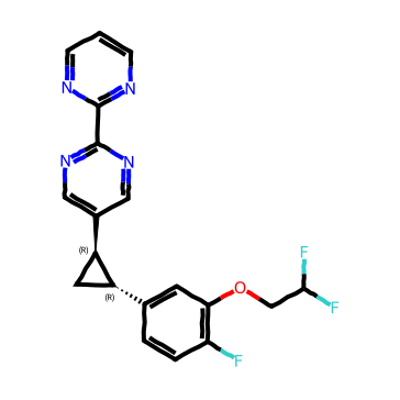 Fc1ccc([C@@H]2C[C@H]2c2cnc(-c3ncccn3)nc2)cc1OCC(F)F